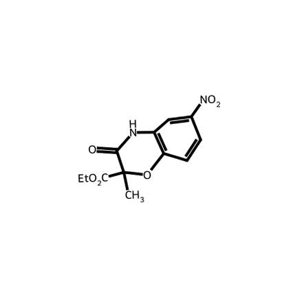 CCOC(=O)C1(C)Oc2ccc([N+](=O)[O-])cc2NC1=O